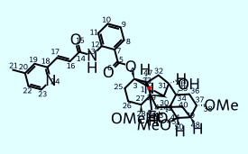 CCN1C[C@]2(OC(=O)c3ccccc3NC(=O)/C=C/c3cc(C)ccn3)CC[C@H](OC)[C@]34C1[C@@H](C[C@H]23)[C@@]1(O)C[C@H](OC)[C@H]2C[C@@H]4[C@]1(O)[C@H]2OC